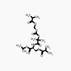 CC(C)OC(=O)[C@H](CSC(=O)C(C)C)NC(=O)C(C)(C)SC(=O)OCOC(=O)C(C)C